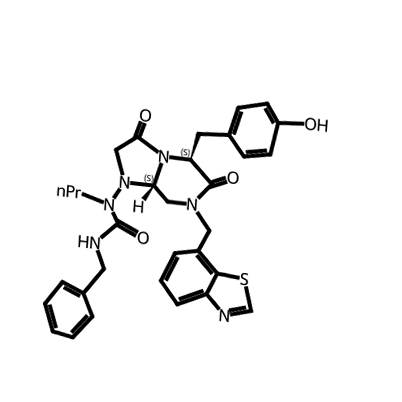 CCCN(C(=O)NCc1ccccc1)N1CC(=O)N2[C@@H](Cc3ccc(O)cc3)C(=O)N(Cc3cccc4ncsc34)C[C@@H]21